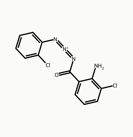 Nc1c(Cl)cccc1C(=O)N=[N+]=Nc1ccccc1Cl